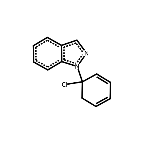 ClC1(n2ncc3ccccc32)C=CC=CC1